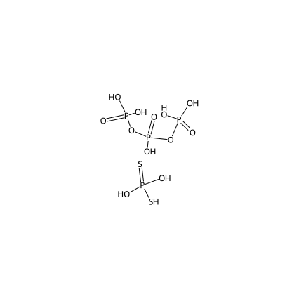 O=P(O)(O)OP(=O)(O)OP(=O)(O)O.OP(O)(=S)S